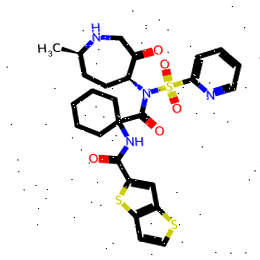 C[C@@H]1CC[C@H](N(C(=O)C2(NC(=O)c3cc4sccc4s3)CCCCC2)S(=O)(=O)c2ccccn2)C(=O)CN1